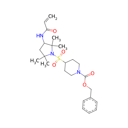 C=CC(=O)NC1CC(C)(C)N(S(=O)(=O)C2CCN(C(=O)OCc3ccccc3)CC2)C1(C)C